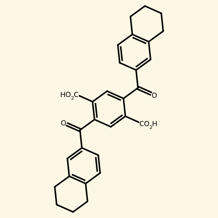 O=C(O)c1cc(C(=O)c2ccc3c(c2)CCCC3)c(C(=O)O)cc1C(=O)c1ccc2c(c1)CCCC2